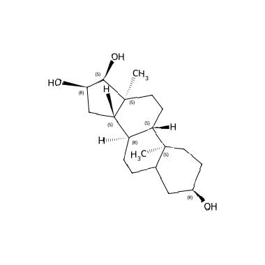 C[C@]12CC[C@H]3[C@@H](CCC4C[C@H](O)CC[C@@]43C)[C@@H]1C[C@@H](O)[C@H]2O